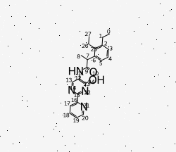 CCc1[c]ccc(C(C)C(=O)Nc2cnc(-c3ccccn3)nc2O)c1CC